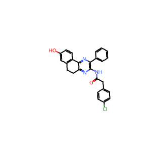 O=C(Cc1ccc(Cl)cc1)Nc1nc2c(nc1-c1ccccc1)-c1ccc(O)cc1CC2